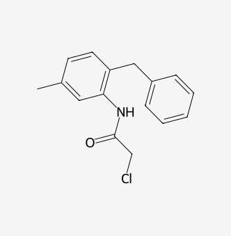 Cc1ccc(Cc2ccccc2)c(NC(=O)CCl)c1